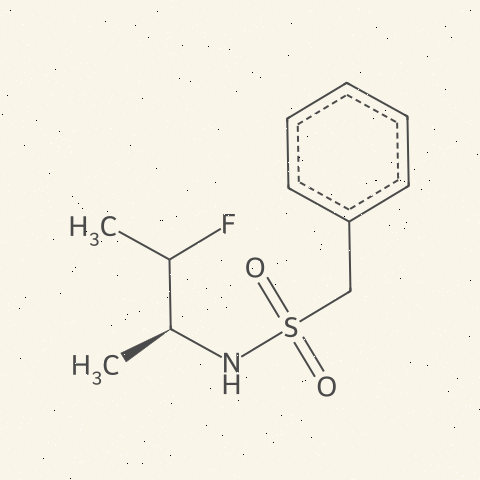 CC(F)[C@H](C)NS(=O)(=O)Cc1ccccc1